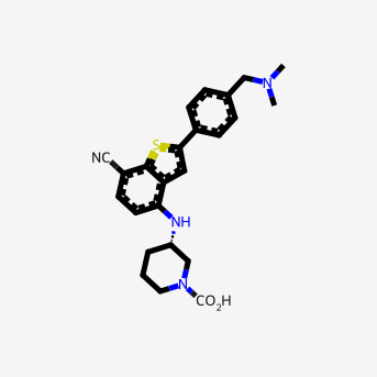 CN(C)Cc1ccc(-c2cc3c(N[C@H]4CCCN(C(=O)O)C4)ccc(C#N)c3s2)cc1